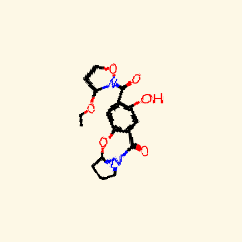 CCOC1CCON1C(=O)c1cc2c(cc1O)C(=O)N1CCCC1O2